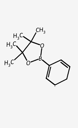 CC1(C)OB(C2=C[CH]CC=C2)OC1(C)C